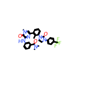 Cc1c(-c2cn(C)c(=O)c(Nc3cccc(C(=O)N(C)C)c3)n2)cccc1N1CCN(c2ccc(C(F)(F)F)cc2)C1=O